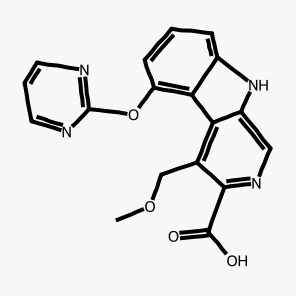 COCc1c(C(=O)O)ncc2[nH]c3cccc(Oc4ncccn4)c3c12